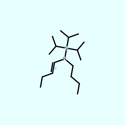 CC/C=C/N(CCCC)[Si](C(C)C)(C(C)C)C(C)C